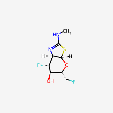 CNC1=N[C@@H]2[C@@H](F)[C@H](O)[C@@H](CF)O[C@@H]2S1